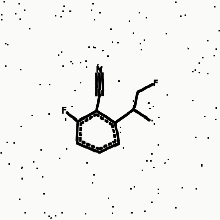 [CH2]C(CF)c1cccc(F)c1C#N